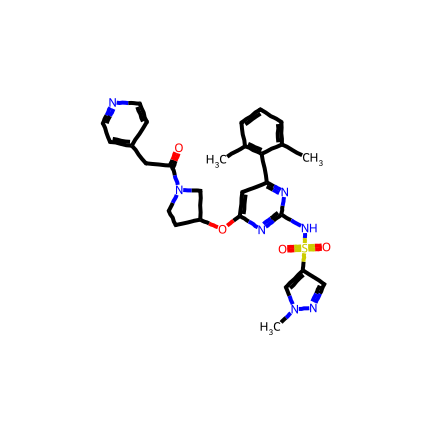 Cc1cccc(C)c1-c1cc(OC2CCN(C(=O)Cc3ccncc3)C2)nc(NS(=O)(=O)c2cnn(C)c2)n1